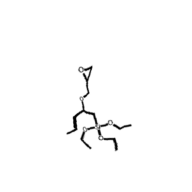 C/C=C/C(C[Si](OCC)(OCC)OCC)OCC1CO1